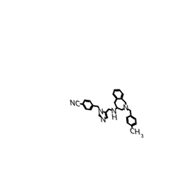 Cc1ccc(CN2Cc3ccccc3CC(NCc3cncn3Cc3ccc(C#N)cc3)C2)cc1